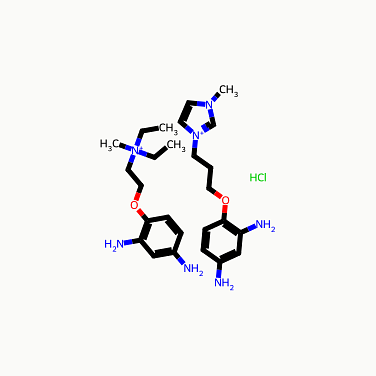 CC[N+](C)(CC)CCOc1ccc(N)cc1N.Cl.Cn1cc[n+](CCCOc2ccc(N)cc2N)c1